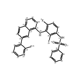 O=S(=O)(Nc1ccc(F)c(Nc2ncnc3ccc(-c4cccnc4F)cc23)c1F)c1ccccc1